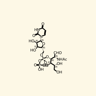 CC(=O)N[C@@H](C=O)[C@@H](OP(=O)(OC[C@H]1O[C@@H](n2ccc(=O)[nH]c2=O)[C@H](O)[C@@H]1O)OP(=O)(O)O)[C@H](O)[C@H](O)CO